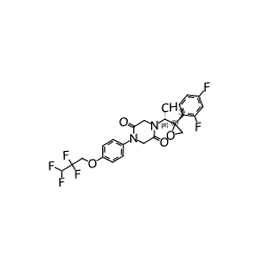 C[C@@H](N1CC(=O)N(c2ccc(OCC(F)(F)C(F)F)cc2)CC1=O)[C@]1(c2ccc(F)cc2F)CO1